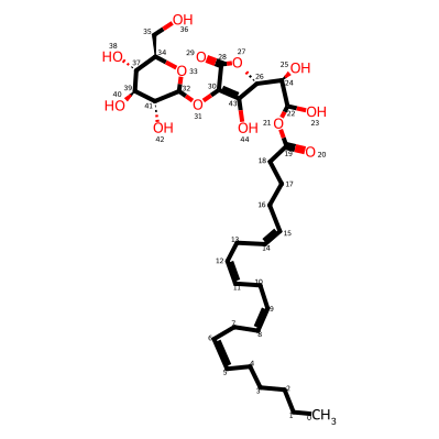 CCCCC/C=C\C/C=C\C/C=C\C/C=C\CCCC(=O)OC(O)[C@H](O)[C@H]1OC(=O)C(OC2O[C@H](CO)[C@@H](O)[C@H](O)[C@H]2O)=C1O